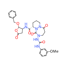 COc1cccc(NC(=O)NN2CCC(=O)N3CCC[C@@H](C(=O)N[C@H]4CC(=O)OC4OCc4ccccc4)N3C2=O)c1